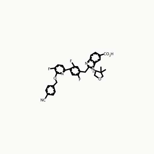 CC1(C)COC[C@H]1n1c(Cc2cc(F)c(-c3ccc(F)c(OCc4ccc(C#N)cc4)n3)cc2F)nc2ccc(C(=O)O)cc21